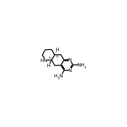 Nc1nc(N)c2c(n1)C[C@@H]1CCCN[C@H]1C2